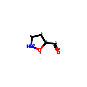 O=[C]C1CCNO1